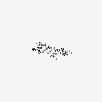 Cc1cc(OCP(C)(=O)O)cc(C)c1Cc1ccc(O)c(S(=O)(=O)C(C)C)c1